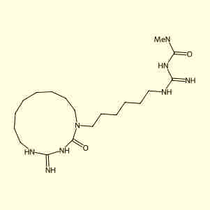 CNC(=O)NC(=N)NCCCCCCN1CCCCCCCCNC(=N)NC1=O